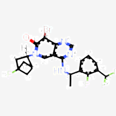 CC(Nc1ncnc2c(Br)c(=O)n([C@H]3CC4(F)CC3C4)cc12)c1cccc(C(F)F)c1F